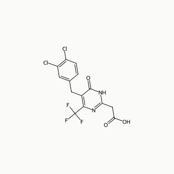 O=C(O)Cc1nc(C(F)(F)F)c(Cc2ccc(Cl)c(Cl)c2)c(=O)[nH]1